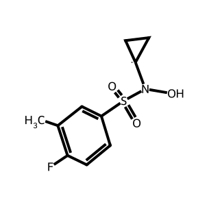 Cc1cc(S(=O)(=O)N(O)[C]2CC2)ccc1F